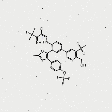 Cc1nc(-c2ccc(OC(F)(F)F)cc2)c(-c2cc(-c3cnc(CO)c(S(C)(=O)=O)c3)ccc2N/C=C(/Cl)C(=N)C(F)(F)F)o1